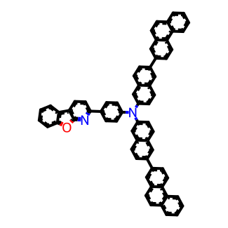 c1ccc2c(c1)ccc1cc(-c3ccc4cc(N(c5ccc(-c6ccc7c(n6)oc6ccccc67)cc5)c5ccc6cc(-c7ccc8c(ccc9ccccc98)c7)ccc6c5)ccc4c3)ccc12